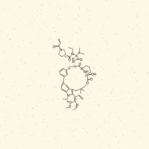 C=CC(=O)N1CC[C@H](C(=O)N(CC)[C@H](C(=O)N[C@H]2Cc3cccc(c3)-c3ccc4c(c3)c(c(/C(C=C)=C(/N=C\C)[C@H](C)OC)n4CC)CC(C)(C)COC(=O)[C@@]3(O)CCCN(N3)C2=O)C(C)C)C1